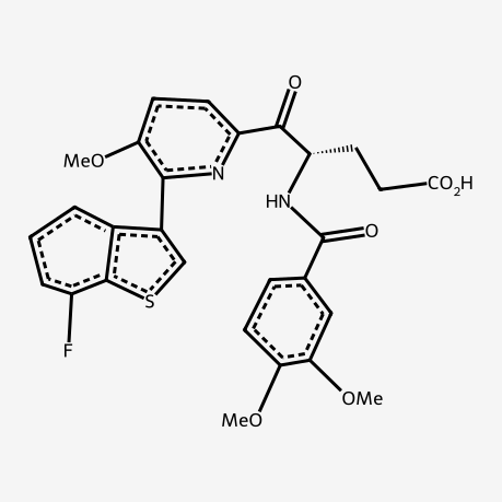 COc1ccc(C(=O)N[C@@H](CCC(=O)O)C(=O)c2ccc(OC)c(-c3csc4c(F)cccc34)n2)cc1OC